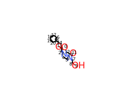 O=C(CN1CCN(CCO)C(=O)C1)OCc1ccccc1